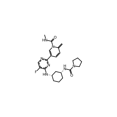 C=C1C=CC(c2ncc(F)c(N[C@H]3CCC[C@@H](NC(=O)N4CCCC4)C3)n2)=CN1C(=O)NC